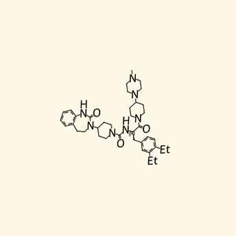 CCc1ccc(C[C@@H](NC(=O)N2CCC(N3CCc4ccccc4NC3=O)CC2)C(=O)N2CCC(N3CCN(C)CC3)CC2)cc1CC